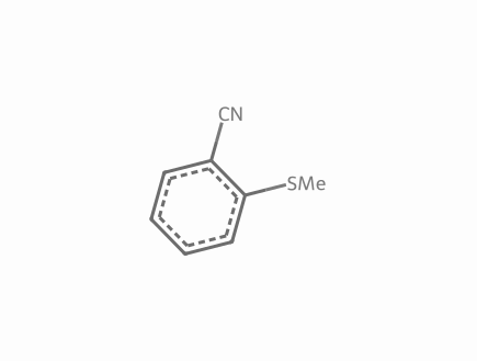 [CH2]Sc1ccccc1C#N